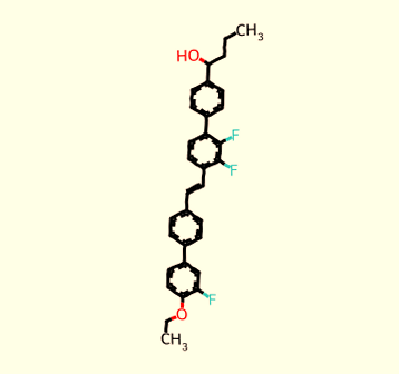 CCCC(O)c1ccc(-c2ccc(/C=C/c3ccc(-c4ccc(OCC)c(F)c4)cc3)c(F)c2F)cc1